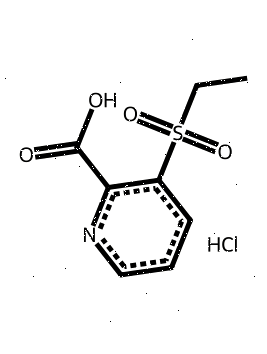 CCS(=O)(=O)c1cccnc1C(=O)O.Cl